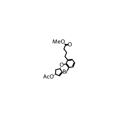 COC(=O)CCCc1cccc(Br)c1O[C@@H]1C=C[C@H](OC(C)=O)C1